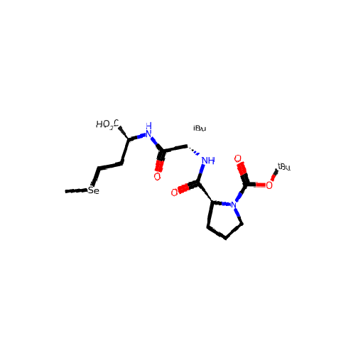 CC[C@H](C)[C@H](NC(=O)[C@@H]1CCCN1C(=O)OC(C)(C)C)C(=O)N[C@@H](CC[Se]C)C(=O)O